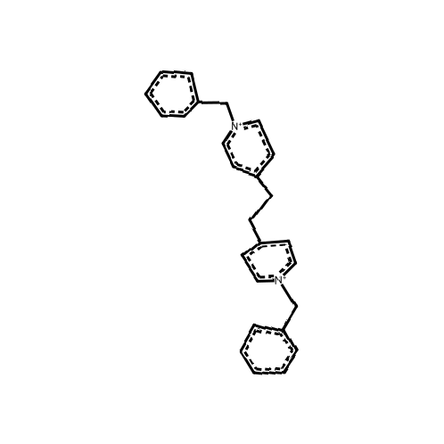 c1ccc(C[n+]2ccc(CCc3cc[n+](Cc4ccccc4)cc3)cc2)cc1